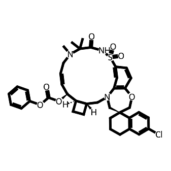 CN1CC=C[C@H](OC(=O)Oc2ccccc2)[C@@H]2CC[C@H]2CN2C[C@@]3(CCCc4cc(Cl)ccc43)COc3ccc(cc32)S(=O)(=O)NC(=O)C1(C)C